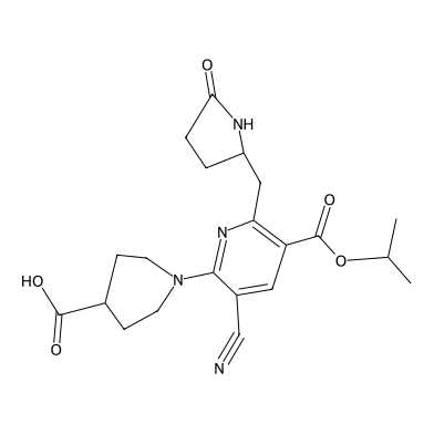 CC(C)OC(=O)c1cc(C#N)c(N2CCC(C(=O)O)CC2)nc1CC1CCC(=O)N1